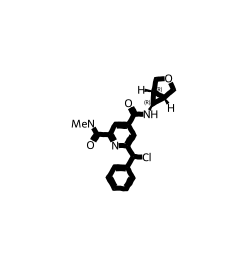 CNC(=O)c1cc(C(=O)N[C@H]2[C@@H]3COC[C@@H]32)cc(C(Cl)c2ccccc2)n1